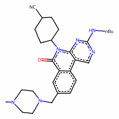 CCCCNc1ncc2c3ccc(CN4CCN(C)CC4)cc3c(=O)n(C3CCC(C#N)CC3)c2n1